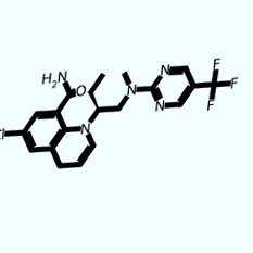 CC[C@@H](CN(C)c1ncc(C(F)(F)F)cn1)N1C=CCc2cc(Cl)cc(C(N)=O)c21